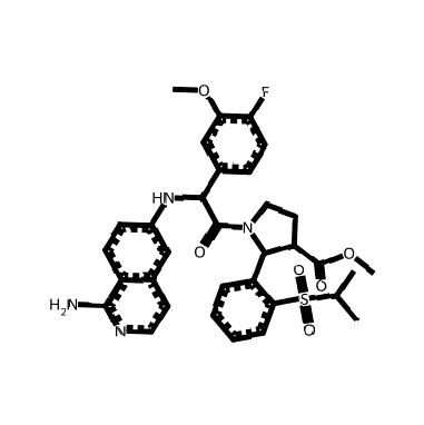 COC(=O)C1CCN(C(=O)C(Nc2ccc3c(N)nccc3c2)c2ccc(F)c(OC)c2)C1c1ccccc1S(=O)(=O)C(C)C